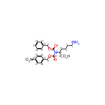 NCCCCC(C(=O)O)N(C(=O)OCc1ccccc1)C(=O)OCc1ccc([N+](=O)[O-])cc1